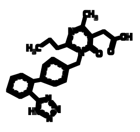 CCCc1nc(C)c(CC(=O)O)c(=O)n1Cc1ccc(-c2ccccc2-c2nnn[nH]2)cc1